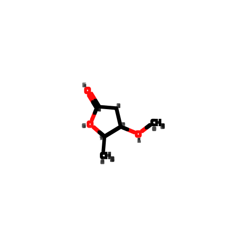 COC1CC(=O)OC1C